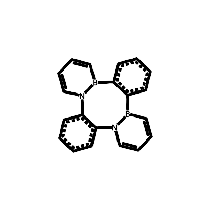 C1=CB2c3ccccc3B3C=CC=CN3c3ccccc3N2C=C1